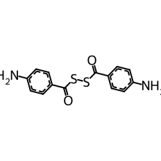 Nc1ccc(C(=O)SSC(=O)c2ccc(N)cc2)cc1